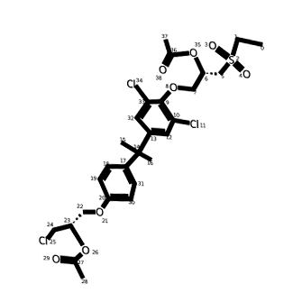 CCS(=O)(=O)C[C@H](COc1c(Cl)cc(C(C)(C)c2ccc(OC[C@@H](CCl)OC(C)=O)cc2)cc1Cl)OC(C)=O